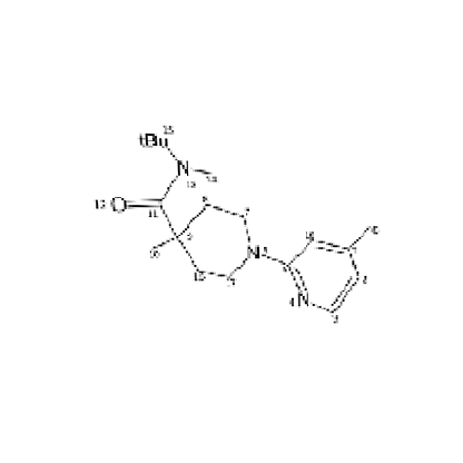 Cc1ccnc(N2CCC(C)(C(=O)N(C)C(C)(C)C)CC2)c1